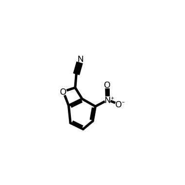 N#CC1Oc2cccc([N+](=O)[O-])c21